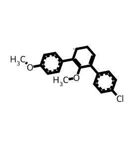 COC1=C(c2ccc(OC)cc2)[CH]CC=C1c1ccc(Cl)cc1